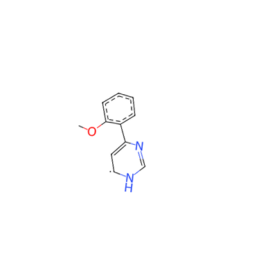 COc1ccccc1C1=C[CH]NC=N1